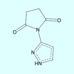 O=C1CCC(=O)N1c1cc[nH]n1